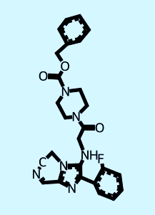 O=C(CNc1c(-c2ccccc2F)nc2n1CCN=C2)N1CCN(C(=O)OCc2ccccc2)CC1